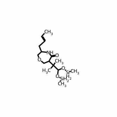 CC=CCC1COCC(C(C)(C)C(O[SiH2]C)O[SiH2]C)C(=O)N1